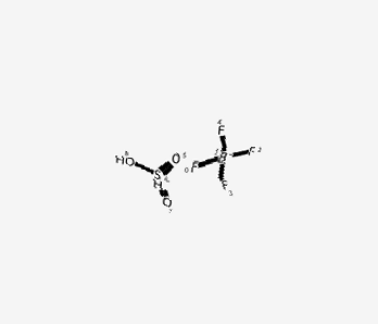 F[B-](F)(F)F.O=[SH](=O)O